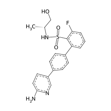 C[C@H](CO)NS(=O)(=O)c1c(F)cccc1-c1ccc(-c2ccc(N)nc2)cc1